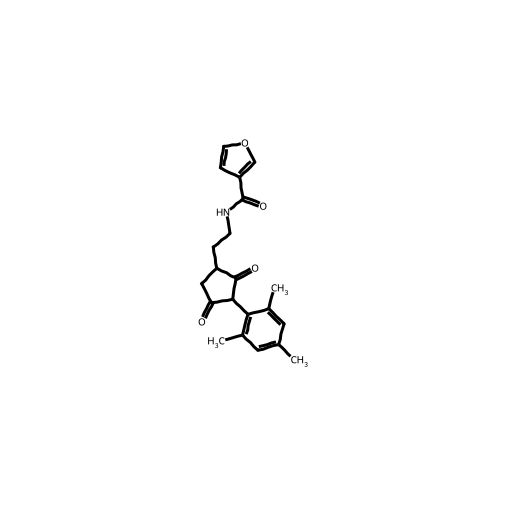 Cc1cc(C)c(C2C(=O)CC(CCNC(=O)c3ccoc3)C2=O)c(C)c1